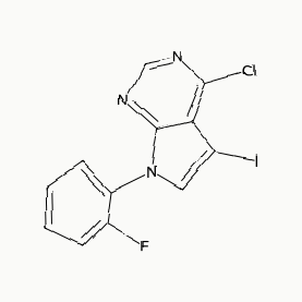 Fc1ccccc1-n1cc(I)c2c(Cl)ncnc21